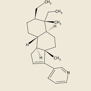 CC[C@@H]1CC[C@@H]2[C@H](CC[C@]3(C)C(c4cccnc4)=CC[C@@H]23)[C@@]1(C)CC